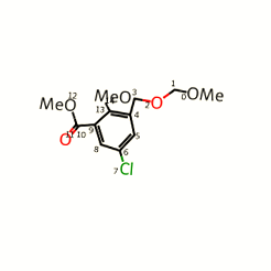 COCOCc1cc(Cl)cc(C(=O)OC)c1OC